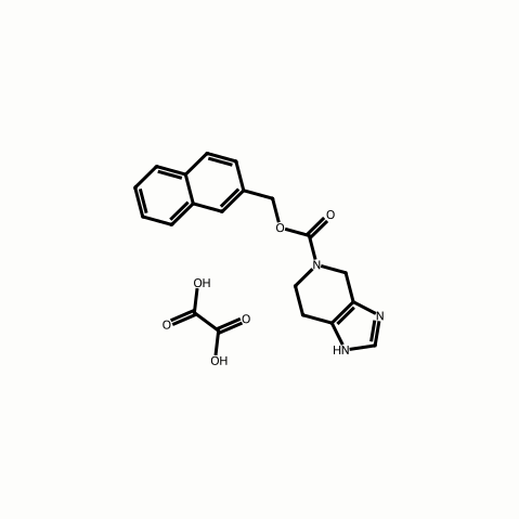 O=C(O)C(=O)O.O=C(OCc1ccc2ccccc2c1)N1CCc2[nH]cnc2C1